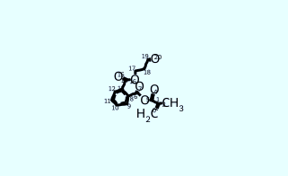 C=C(C)C(=O)OC(=O)c1ccccc1C(=O)OCCC=O